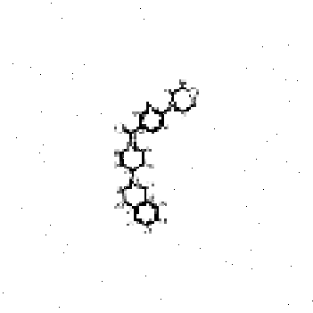 O=C(c1ccc(N2CCOCC2)nc1)N1CCC(N2CCc3ccccc3C2)CC1